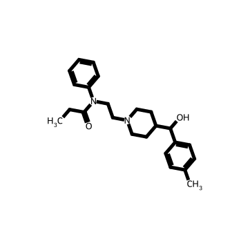 CCC(=O)N(CCN1CCC(C(O)c2ccc(C)cc2)CC1)c1ccccc1